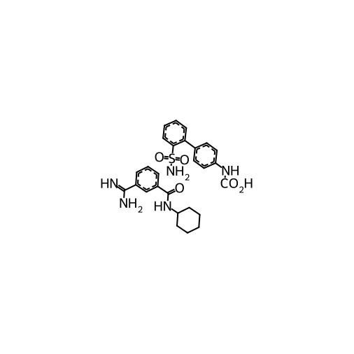 N=C(N)c1cccc(C(=O)NC2CCCCC2)c1.NS(=O)(=O)c1ccccc1-c1ccc(NC(=O)O)cc1